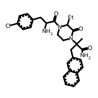 CCC1C(=O)N(C(C)(Cc2ccc3ccccc3c2)C(N)=O)CCN1C(=O)C(N)Cc1ccc(Cl)cc1